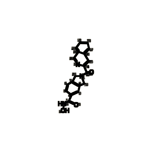 O=C(NO)c1ccc2c(c1)CN(C(=O)c1cc3ccccc3cn1)C2